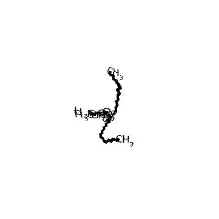 CCCCC/C=C\C/C=C\CCCCCCCC(=O)O[C@H](COCCCCCCCC/C=C\CCCCCC)COP(=O)(O)OCC[N+](C)(C)C